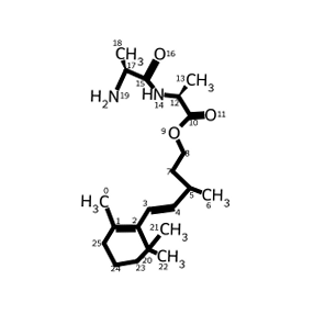 CC1=C(C=CC(C)CCOC(=O)[C@H](C)NC(=O)[C@H](C)N)C(C)(C)CCC1